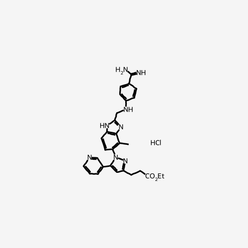 CCOC(=O)CCc1cc(-c2cccnc2)n(-c2ccc3[nH]c(CNc4ccc(C(=N)N)cc4)nc3c2C)n1.Cl